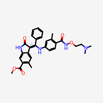 COC(=O)c1cc2c(cc1C)/C(=C(\Nc1ccc(C(=O)NOCCN(C)C)c(C)c1)c1ccccc1)C(=O)N2